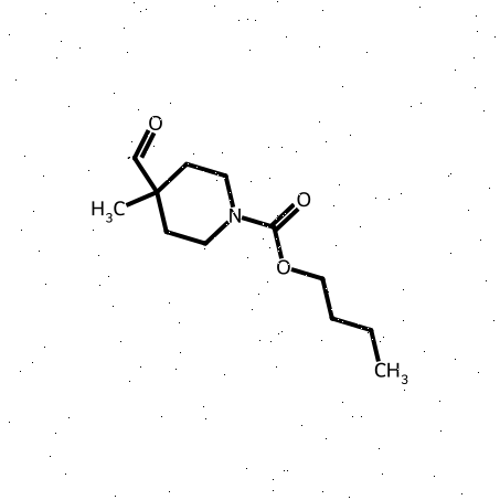 CCCCOC(=O)N1CCC(C)([C]=O)CC1